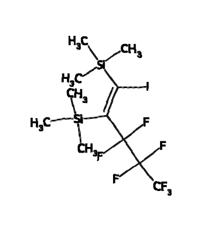 C[Si](C)(C)C(I)=C(C(F)(F)C(F)(F)C(F)(F)F)[Si](C)(C)C